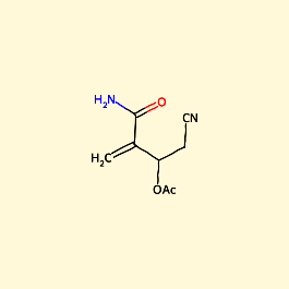 C=C(C(N)=O)C(CC#N)OC(C)=O